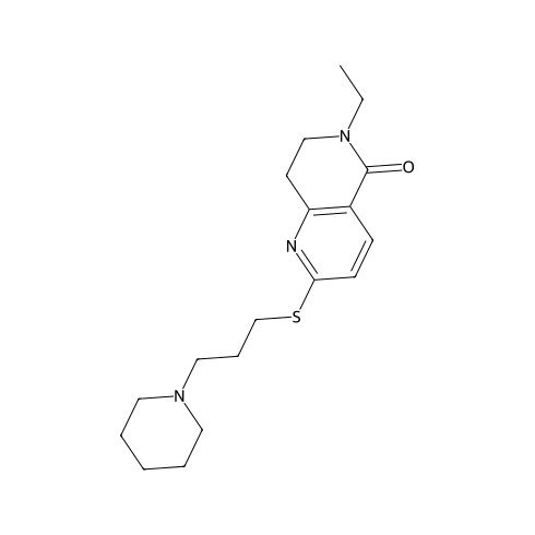 CCN1CCc2nc(SCCCN3CCCCC3)ccc2C1=O